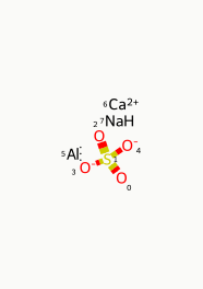 O=S(=O)([O-])[O-].[Al].[Ca+2].[NaH]